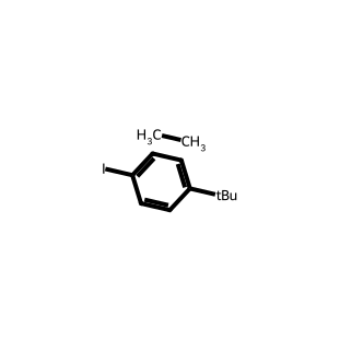 CC.CC(C)(C)c1ccc(I)cc1